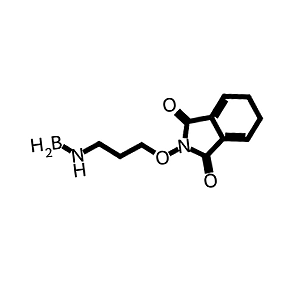 BNCCCON1C(=O)C2=CCCC=C2C1=O